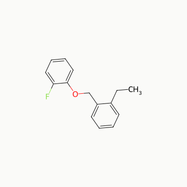 CCc1ccccc1COc1ccccc1F